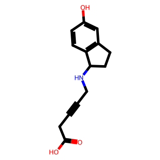 O=C(O)CC#CCNC1CCc2cc(O)ccc21